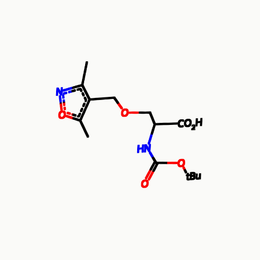 Cc1noc(C)c1COCC(NC(=O)OC(C)(C)C)C(=O)O